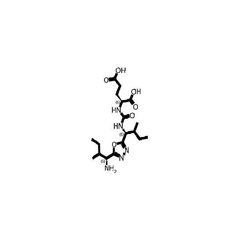 CCC(C)[C@H](N)c1nnc([C@@H](NC(=O)N[C@@H](CCC(=O)O)C(=O)O)C(C)CC)o1